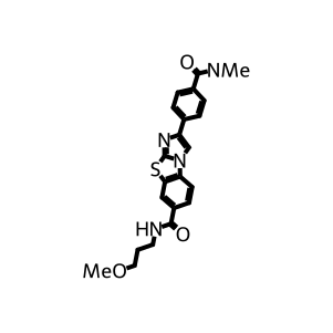 CNC(=O)c1ccc(-c2cn3c(n2)sc2cc(C(=O)NCCCOC)ccc23)cc1